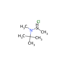 CN([SiH](C)Cl)C(C)(C)C